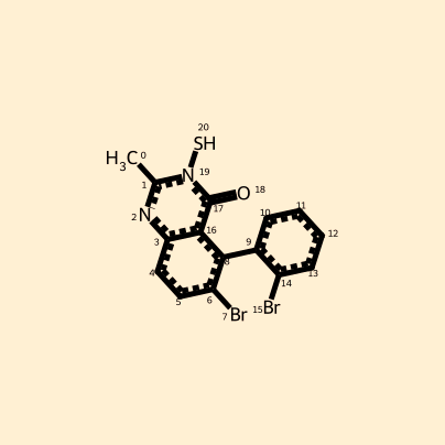 Cc1nc2ccc(Br)c(-c3ccccc3Br)c2c(=O)n1S